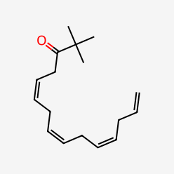 C=CC/C=C\C/C=C\C/C=C\CC(=O)C(C)(C)C